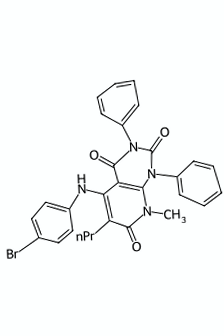 CCCc1c(Nc2ccc(Br)cc2)c2c(=O)n(-c3ccccc3)c(=O)n(-c3ccccc3)c2n(C)c1=O